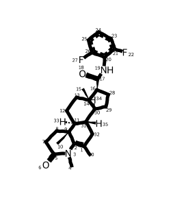 CC1=C2N(C)C(=O)CC[C@]2(C)[C@H]2CC[C@]3(C)[C@@H](C(=O)Nc4c(F)cccc4F)CC[C@H]3[C@@H]2C1